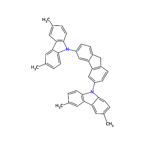 Cc1ccc2c(c1)c1cc(C)ccc1n2-c1ccc2c(c1)-c1cc(-n3c4ccc(C)cc4c4cc(C)ccc43)ccc1C2